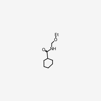 CCOCNC(=O)C1CCCCC1